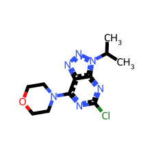 CC(C)n1nnc2c(N3CCOCC3)nc(Cl)nc21